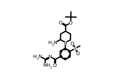 CC(C)(C)OC(=O)C1CCN(c2cc(C(=O)N=C(N)N)ccc2S(C)(=O)=O)C(N)C1